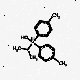 Cc1ccc([PH](O)(c2ccc(C)cc2)C(C)C)cc1